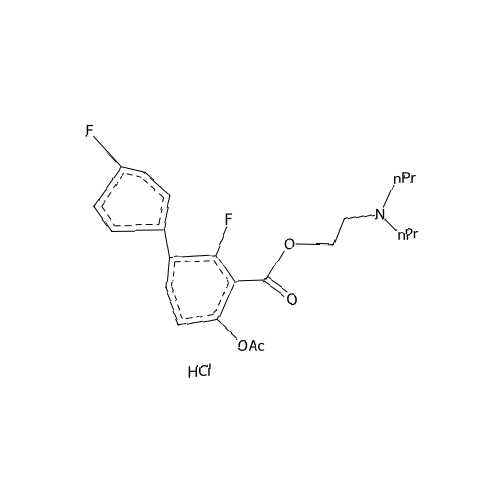 CCCN(CCC)CCOC(=O)c1c(OC(C)=O)ccc(-c2ccc(F)cc2)c1F.Cl